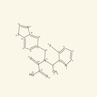 CC(c1ncccc1F)N(Cc1ccc2scnc2c1)C(=O)C(=O)O